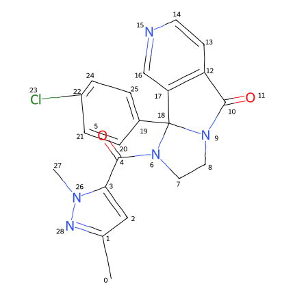 Cc1cc(C(=O)N2CCN3C(=O)c4ccncc4C32c2ccc(Cl)cc2)n(C)n1